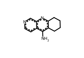 Nc1c2c(nc3cnccc13)CCCC2